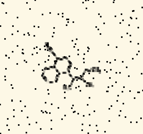 C=C/C(C)=C(/C)c1ccc(C#N)c2ccccc12